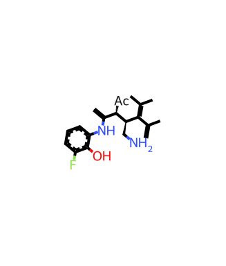 C=C(C)C(=C(C)C)[C@@H](CN)[C@@H](C(=C)Nc1cccc(F)c1O)C(C)=O